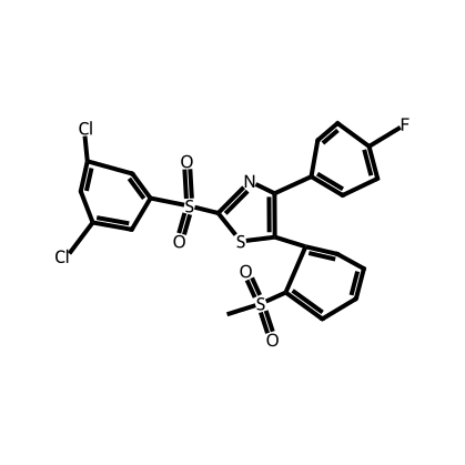 CS(=O)(=O)c1ccccc1-c1sc(S(=O)(=O)c2cc(Cl)cc(Cl)c2)nc1-c1ccc(F)cc1